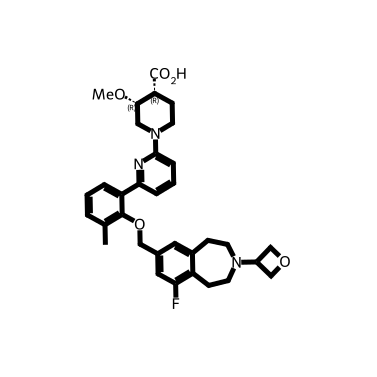 CO[C@H]1CN(c2cccc(-c3cccc(C)c3OCc3cc(F)c4c(c3)CCN(C3COC3)CC4)n2)CC[C@H]1C(=O)O